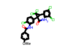 COc1ccc(C(=O)Nc2cc(C3(C(N)=O)C(c4cc(Cl)cc(Cl)c4)C3(Cl)Cl)ccc2Cl)cc1